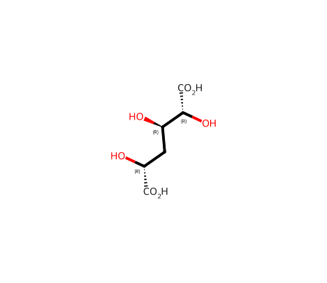 O=C(O)[C@H](O)C[C@@H](O)[C@@H](O)C(=O)O